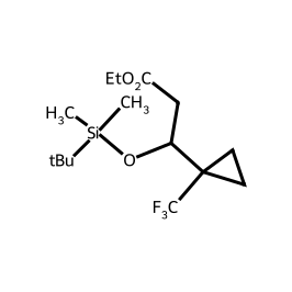 CCOC(=O)CC(O[Si](C)(C)C(C)(C)C)C1(C(F)(F)F)CC1